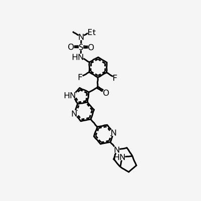 CCN(C)S(=O)(=O)Nc1ccc(F)c(C(=O)c2c[nH]c3ncc(-c4ccc(N5CC6CCC(C5)N6)nc4)cc23)c1F